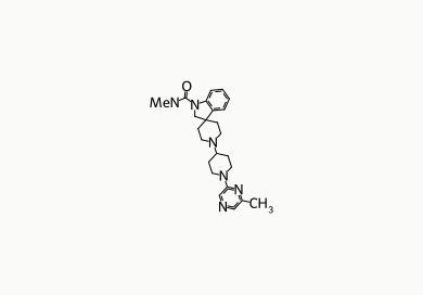 CNC(=O)N1CC2(CCN(C3CCN(c4cncc(C)n4)CC3)CC2)c2ccccc21